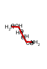 NC(=O)CCCCC[C@@H](O)C/C=C\CCCCCCCC(=O)NCCCCCCNC(=O)CCCCCCC/C=C\C[C@H](O)CCCCCC(N)=O